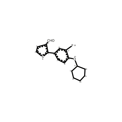 O=Cc1ccsc1-c1ccc(OC2CCCCC2)c(F)c1